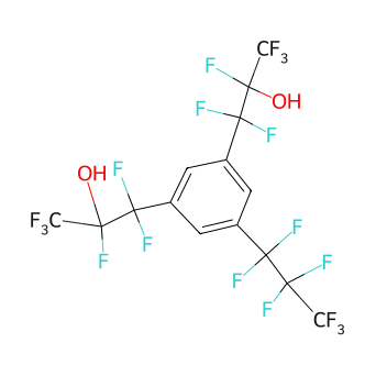 OC(F)(C(F)(F)F)C(F)(F)c1cc(C(F)(F)C(O)(F)C(F)(F)F)cc(C(F)(F)C(F)(F)C(F)(F)F)c1